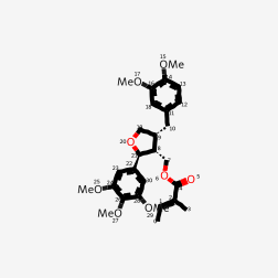 CC=C(C)C(=O)OC[C@H]1[C@@H](Cc2ccc(OC)c(OC)c2)CO[C@@H]1c1cc(OC)c(OC)c(OC)c1